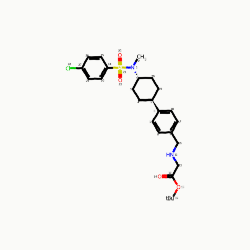 CN([C@H]1CC[C@H](c2ccc(CNCC(=O)OC(C)(C)C)cc2)CC1)S(=O)(=O)c1ccc(Cl)cc1